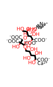 O.O.O=C([O-])CC(O)(CC(=O)[O-])C(=O)[O-].O=C([O-])[C@H](O)[C@@H](O)[C@H](O)[C@H](O)CO.O=C([O-])[C@H](O)[C@@H](O)[C@H](O)[C@H](O)CO.[Ca+2].[Na+].[Na+].[Na+]